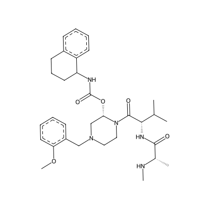 CN[C@@H](C)C(=O)N[C@H](C(=O)N1CCN(Cc2ccccc2OC)C[C@@H]1OC(=O)NC1CCCc2ccccc21)C(C)C